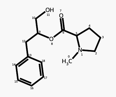 CN1CCCC1C(=O)OC(CO)Cc1ccccc1